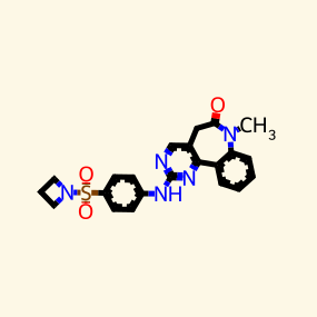 CN1C(=O)Cc2cnc(Nc3ccc(S(=O)(=O)N4CCC4)cc3)nc2-c2ccccc21